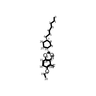 CCCCCCC[C@H]1CC[C@H](C(=O)Oc2ccc(OCC)c(F)c2F)CC1